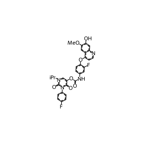 COc1cc2c(Oc3ccc(NC(=O)Oc4cn(C(C)C)c(=O)n(-c5ccc(F)cc5)c4=O)cc3F)ccnc2cc1O